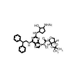 CCN(C(=O)[C@H]1OC[C@@H]2OC(C)(C)O[C@@H]21)n1cnc2c(NCC(c3ccccc3)c3ccccc3)nc(NC3CCC(NC(C)=O)C3O)nc21